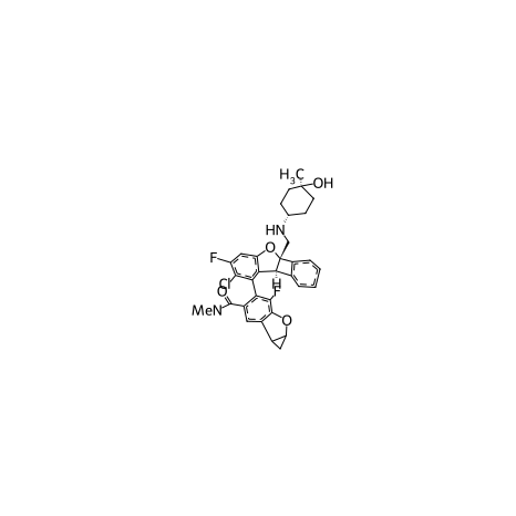 CNC(=O)c1cc2c(c(F)c1-c1c(Cl)c(F)cc3c1[C@@H]1c4ccccc4[C@@]1(CN[C@H]1CC[C@](C)(O)CC1)O3)OC1CC21